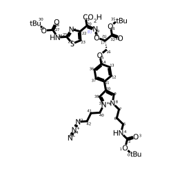 CC(C)(C)OC(=O)NCCCn1cc(-c2ccc(OC[C@H](O/N=C(/C(=O)O)c3csc(NC(=O)OC(C)(C)C)n3)C(=O)OC(C)(C)C)cc2)c[n+]1CCCN=[N+]=[N-]